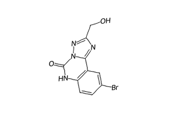 O=c1[nH]c2ccc(Br)cc2c2nc(CO)nn12